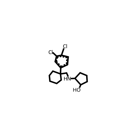 OC1CCCC1NCC1(c2ccc(Cl)c(Cl)c2)CCCCC1